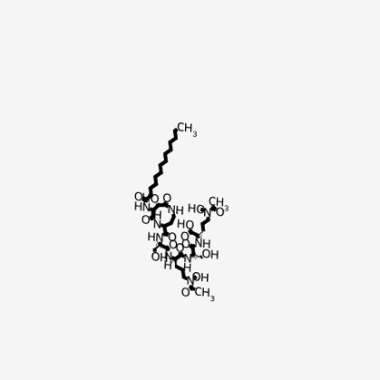 CCCCCCCCCCCCCC(=O)NC1C(=O)NC(C(=O)N[C@H](CO)C(=O)N[C@H](CCCN(O)C(C)=O)C(=O)N[C@@H](CO)C(=O)N[C@@H](CCCN(O)C(C)=O)C(=O)O)CCNC(=O)C1O